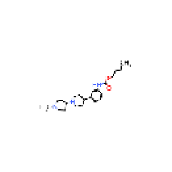 CCCCOC(=O)Nc1cccc(C2CCN(C3CCN(C)CC3)CC2)c1